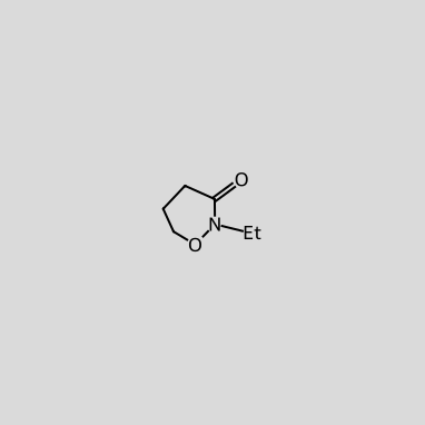 [CH2]CN1OCCCC1=O